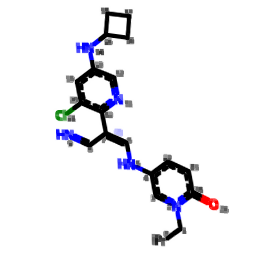 CC(C)Cn1cc(N/C=C(\C=N)c2ncc(NC3CCC3)cc2Cl)ccc1=O